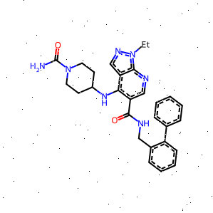 CCn1ncc2c(NC3CCN(C(N)=O)CC3)c(C(=O)NCc3ccccc3-c3ccccc3)cnc21